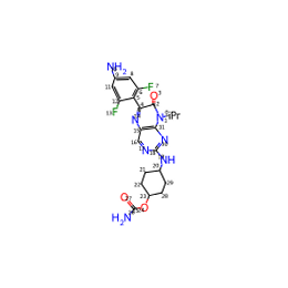 CC(C)n1c(=O)c(-c2c(F)cc(N)cc2F)nc2cnc(NC3CCC(OC(N)=O)CC3)nc21